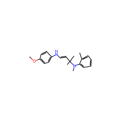 COc1ccc(NC=CC(C)(C)N(C)c2ccccc2C)cc1